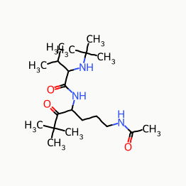 CC(=O)NCCCC(NC(=O)C(NC(C)(C)C)C(C)C)C(=O)C(C)(C)C